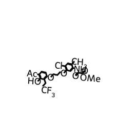 COC(=O)C(=O)Nc1cc(OCCCOc2ccc(C(C)=O)c(O)c2CCC(F)(F)F)c(Cl)cc1C